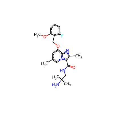 COc1cccc(F)c1COc1cc(C)cn2c(C(=O)NCC(C)(C)N)c(C)nc12